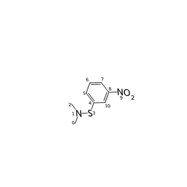 CN(C)Sc1cccc([N+](=O)[O-])c1